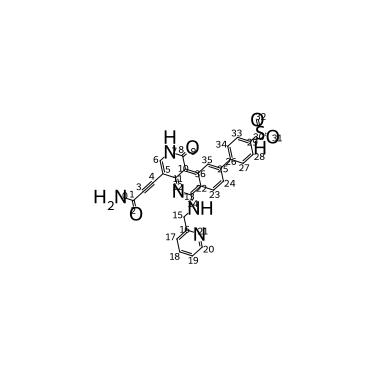 NC(=O)C#Cc1c[nH]c(=O)c2c1nc(NCc1ccccn1)c1ccc(-c3ccc([SH](=O)=O)cc3)cc12